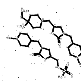 CC(C)(C)N1CCC(CN2CC(COS(C)(=O)=O)OC2=O)CC1.CCOC(=O)CC1(C(=O)OCC)CCN(CC2CN(CC3CCN(C(C)(C)C)CC3)C(=O)O2)CC1